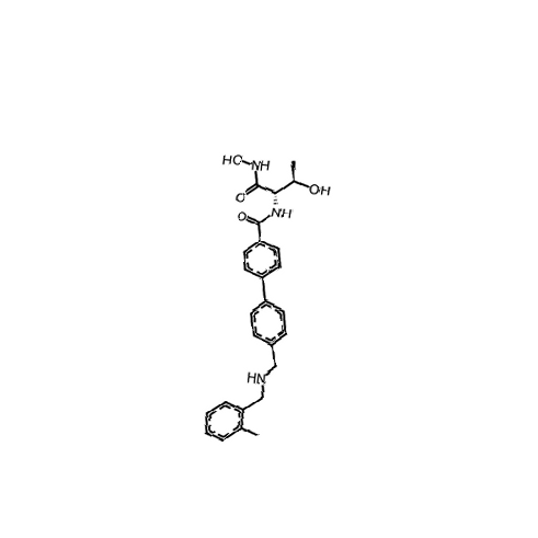 Cc1ccccc1CNCc1ccc(-c2ccc(C(=O)N[C@H](C(=O)NO)[C@@H](C)O)cc2)cc1